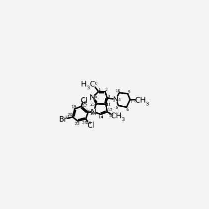 Cc1cc(N2CCC(C)CC2)c2c(C)cn(-c3c(Cl)cc(Br)cc3Cl)c2n1